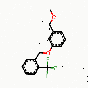 COCc1cccc(OCc2ccccc2C(F)(F)F)c1